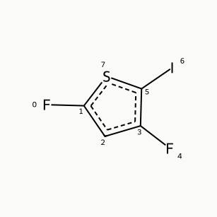 Fc1cc(F)c(I)s1